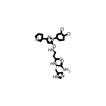 NC(=O)[C@H](Cc1cnc[nH]1)NC(=O)CCNOc1cc(-c2cccnc2)nn1-c1ccc(Cl)c(Cl)c1